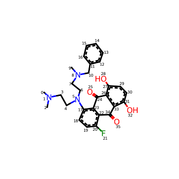 CN(C)CCN(CCN(C)Cc1ccccc1)c1ccc(F)c2c1C(=O)c1c(O)ccc(O)c1C2=O